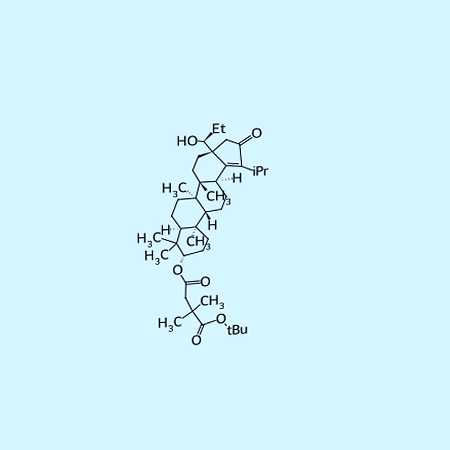 CC[C@H](O)[C@@]12CC[C@]3(C)[C@H](CC[C@@H]4[C@@]5(C)CC[C@H](OC(=O)CC(C)(C)C(=O)OC(C)(C)C)C(C)(C)[C@H]5CC[C@]43C)C1=C(C(C)C)C(=O)C2